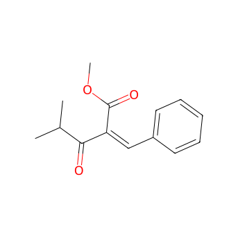 COC(=O)C(=Cc1ccccc1)C(=O)C(C)C